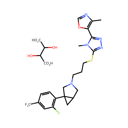 Cc1ncoc1-c1nnc(SCCCN2CC3CC3(c3ccc(C(F)(F)F)cc3F)C2)n1C.O=C(O)C(O)C(O)C(=O)O